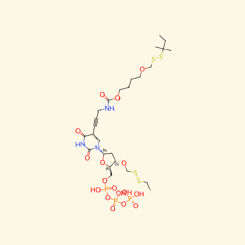 CCSSCO[C@H]1C[C@H](n2cc(C#CCNC(=O)OCCCCOCSSC(C)(C)CC)c(=O)[nH]c2=O)O[C@@H]1COP(=O)(O)OP(=O)(O)OP(=O)(O)O